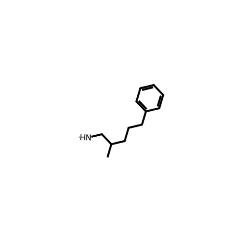 CC(C[NH])CCCc1ccccc1